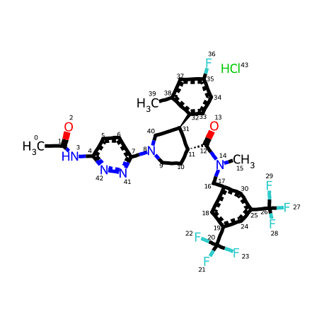 CC(=O)Nc1ccc(N2CC[C@@H](C(=O)N(C)Cc3cc(C(F)(F)F)cc(C(F)(F)F)c3)[C@H](c3ccc(F)cc3C)C2)nn1.Cl